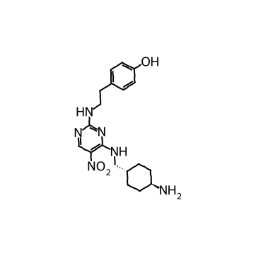 N[C@H]1CC[C@H](CNc2nc(NCCc3ccc(O)cc3)ncc2[N+](=O)[O-])CC1